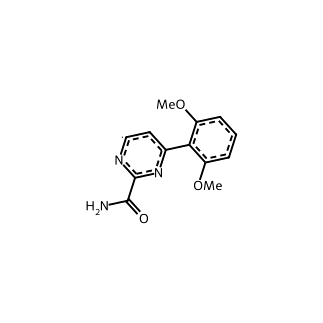 COc1cccc(OC)c1-c1c[c]nc(C(N)=O)n1